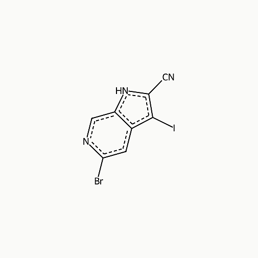 N#Cc1[nH]c2cnc(Br)cc2c1I